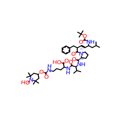 CC(C)CC(/C=C/C(Cc1ccccc1)C(=O)N1CCC[C@H]1C(=O)NC(C(=O)NC(CCCNC(=O)OC1CC(C)(C)N(O)C(C)(C)C1)C(=O)O)C(C)C)NC(=O)OC(C)(C)C